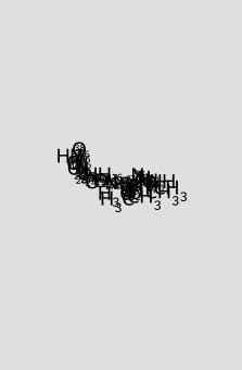 Cc1[nH]nc(Nc2ncnc3cc(OCC4CCN(CCOCC(=O)Nc5cccc6c5CN(C5CCC(=O)NC5=O)C6=O)CC4)c(S(=O)(=O)C(C)(C)C)cc23)c1C